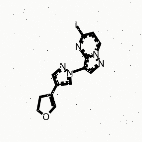 Ic1ccn2ncc(-n3cc(C4=COCC4)cn3)c2n1